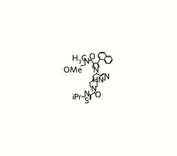 COCCN(C)C(=O)c1cn(C(CC2CCN(C(=O)c3csc(C(C)C)n3)CC2)c2cnc[nH]2)cc1-c1cccc2ccccc12